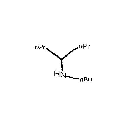 CCC[CH]NC(CCC)CCC